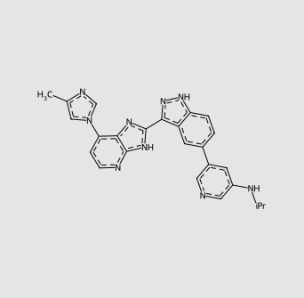 Cc1cn(-c2ccnc3[nH]c(-c4n[nH]c5ccc(-c6cncc(NC(C)C)c6)cc45)nc23)cn1